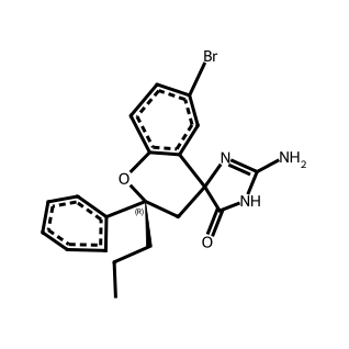 CCC[C@]1(c2ccccc2)CC2(N=C(N)NC2=O)c2cc(Br)ccc2O1